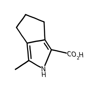 Cc1[nH]c(C(=O)O)c2c1CCC2